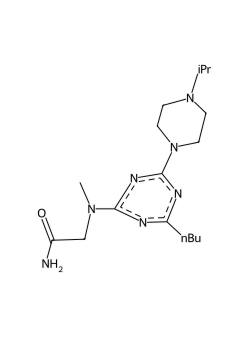 CCCCc1nc(N(C)CC(N)=O)nc(N2CCN(C(C)C)CC2)n1